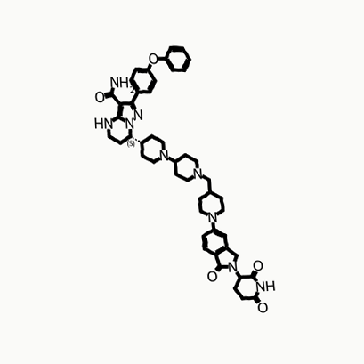 NC(=O)c1c(-c2ccc(Oc3ccccc3)cc2)nn2c1NCC[C@H]2C1CCN(C2CCN(CC3CCN(c4ccc5c(c4)CN(C4CCC(=O)NC4=O)C5=O)CC3)CC2)CC1